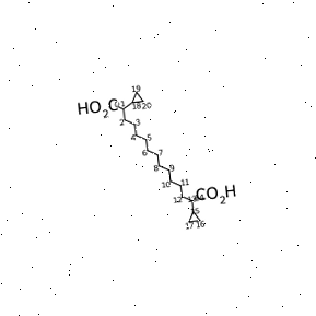 O=C(O)C(CCCCCCCCCCCC(C(=O)O)C1CC1)C1CC1